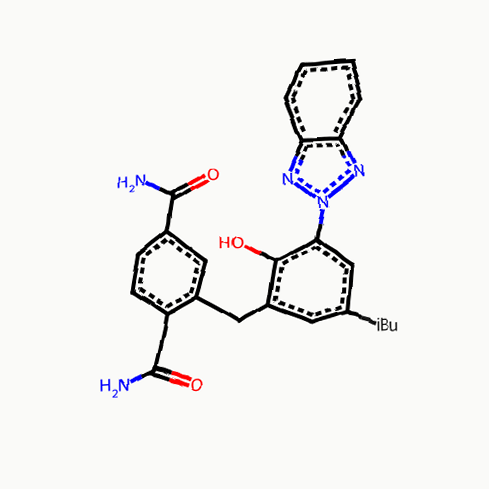 CCC(C)c1cc(Cc2cc(C(N)=O)ccc2C(N)=O)c(O)c(-n2nc3ccccc3n2)c1